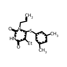 C=CCn1c(Sc2cc(C)cc(C)c2)c(CC)c(=O)[nH]c1=O